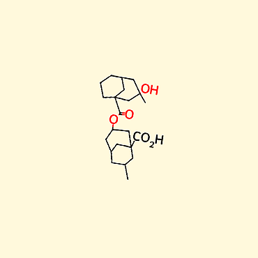 CC1CC2CC(OC(=O)C34CCCC(CC(C)(O)C3)C4)CC(C(=O)O)(C1)C2